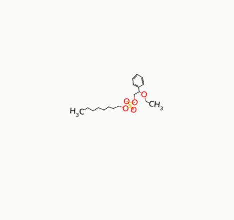 CCCCCCCCOS(=O)(=O)OCC(OCC)c1ccccc1